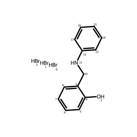 Br.Br.Br.Oc1ccccc1CNc1ccccc1